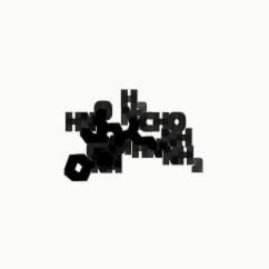 N=C(N)NCCC(C(=O)Cc1c(NS(=O)(=O)NC2CCCCC2)cc[nH]c1=O)[C@H](N)C=O